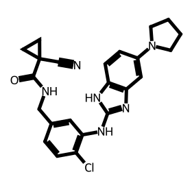 N#CC1(C(=O)NCc2ccc(Cl)c(Nc3nc4cc(N5CCCC5)ccc4[nH]3)c2)CC1